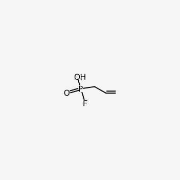 C=CCP(=O)(O)F